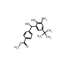 COC(=O)c1ccc(C(O)c2cc(C(C)(C)C)cc(N)c2O)cc1